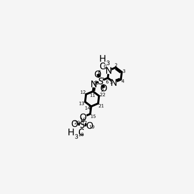 CN1C=CC=NC1S(=O)(=O)N=C1CCC(COS(C)(=O)=O)CC1